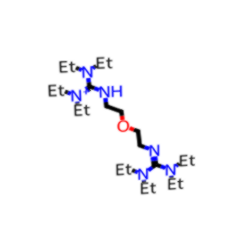 CCN(CC)C(=NCCOCCNC(N(CC)CC)=[N+](CC)CC)N(CC)CC